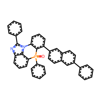 O=P1(c2ccccc2)c2c(-c3ccc4cc(-c5ccccc5)ccc4c3)cccc2-n2c(-c3ccccc3)nc3cccc1c32